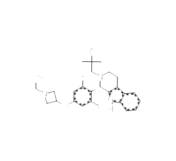 CC(C)CN1CC(Oc2cc(F)c([C@@H]3c4[nH]c5ccccc5c4C[C@@H](C)N3CC(C)(C)F)c(F)c2)C1